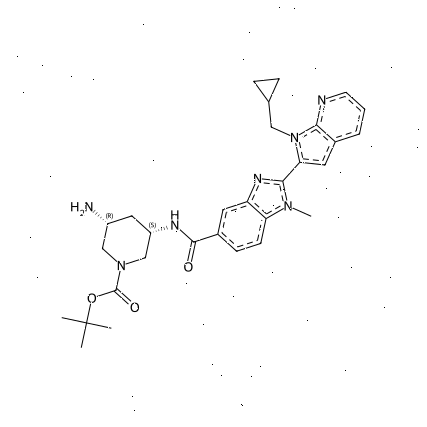 Cn1c(-c2cc3cccnc3n2CC2CC2)nc2cc(C(=O)N[C@H]3C[C@@H](N)CN(C(=O)OC(C)(C)C)C3)ccc21